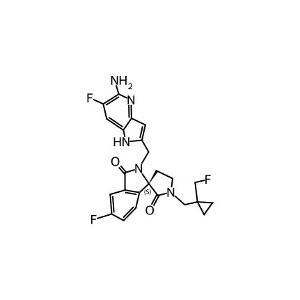 Nc1nc2cc(CN3C(=O)c4cc(F)ccc4[C@]34CCN(CC3(CF)CC3)C4=O)[nH]c2cc1F